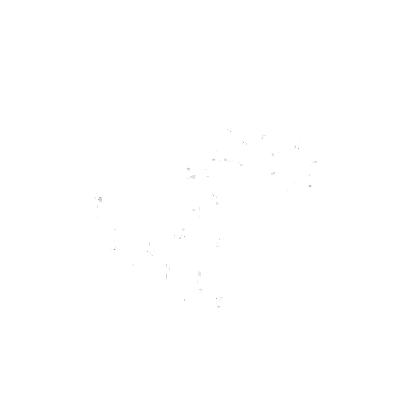 NCC1CCN(c2ccc(N)cc2NC(=O)c2csc(-c3cnn(Cc4ccccn4)c3)n2)CC1